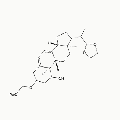 COCOC1CC2=CC=C3[C@@H]4CC[C@H](C(C)C5OCCO5)[C@@]4(C)CC[C@@H]3[C@@]2(C)C(O)C1